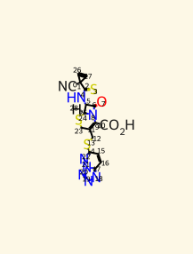 N#CC1(C(=S)NC2C(=O)N3C(C(=O)O)=C(CSc4ccc5nnnn5n4)CS[C@@H]23)C#C1